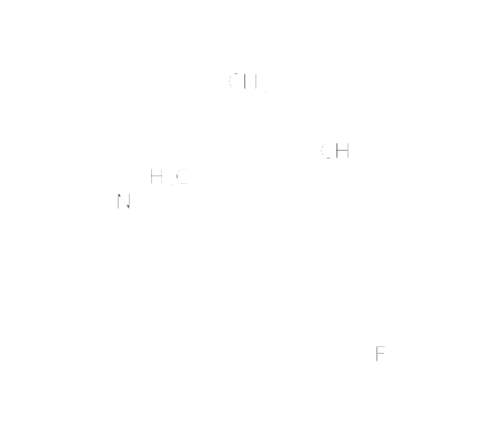 CC(C)C(C)c1cc(F)ccc1C#N